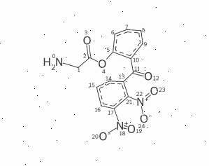 NCC(=O)Oc1ccccc1C(=O)c1cccc([N+](=O)[O-])c1[N+](=O)[O-]